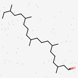 CCC(C)CCC(C)CCCC(C)CCCC(C)CCCC(C)CC=O